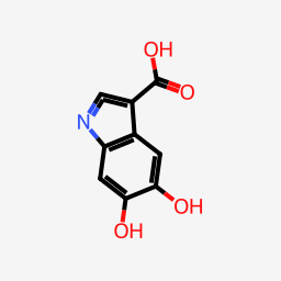 O=C(O)C1=C=Nc2cc(O)c(O)cc21